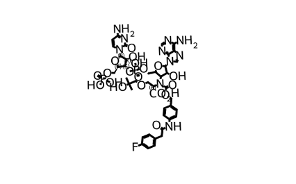 CC(C)(O)COC[C@H](C(=O)O)N(C(=O)OCc1ccc(NC(=O)Cc2ccc(F)cc2)cc1)C1C(COP(=O)(O)O[C@H]2[C@@H](O)[C@H](n3ccc(N)nc3=O)O[C@@H]2COP(=O)(O)O)OC(n2cnc3c(N)ncnc32)C1O